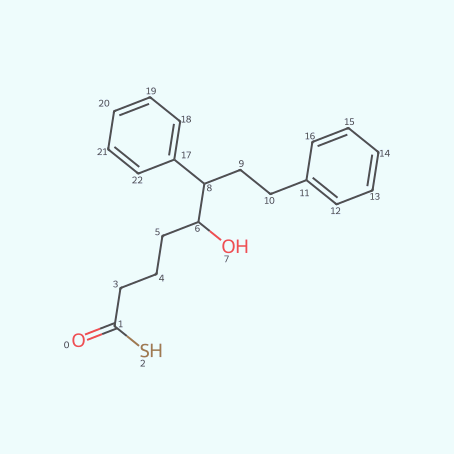 O=C(S)CCCC(O)C(CCc1ccccc1)c1ccccc1